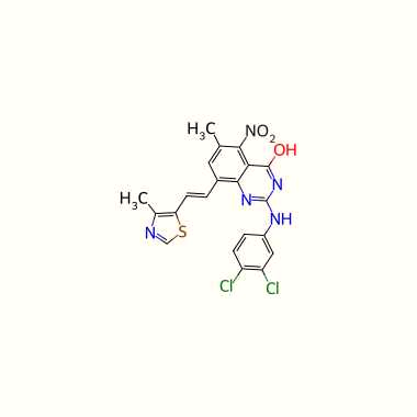 Cc1cc(/C=C/c2scnc2C)c2nc(Nc3ccc(Cl)c(Cl)c3)nc(O)c2c1[N+](=O)[O-]